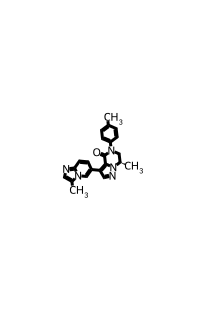 Cc1ccc(N2C[C@H](C)n3ncc(-c4ccc5ncc(C)n5c4)c3C2=O)cc1